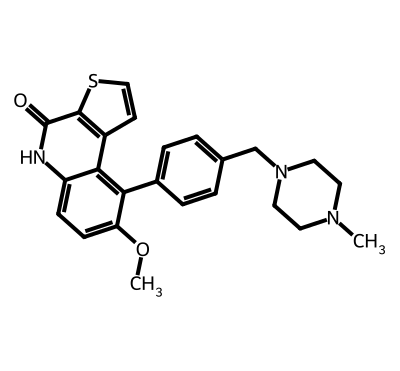 COc1ccc2[nH]c(=O)c3sccc3c2c1-c1ccc(CN2CCN(C)CC2)cc1